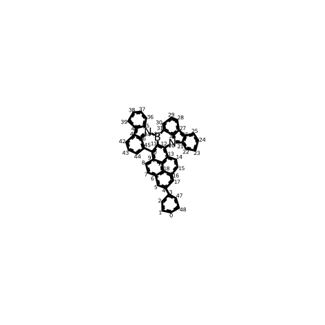 c1ccc(-c2cc3ccc4c5c6c(c7ccc(c2)c3c47)-n2c3ccccc3c3cccc(c32)B6n2c3ccccc3c3cccc-5c32)cc1